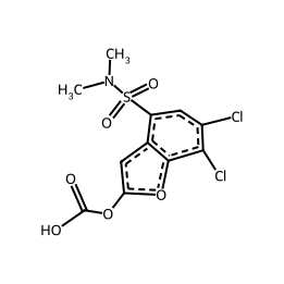 CN(C)S(=O)(=O)c1cc(Cl)c(Cl)c2oc(OC(=O)O)cc12